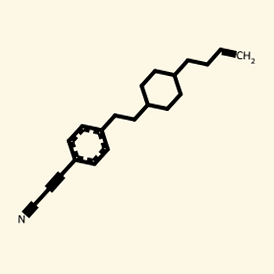 C=CCCC1CCC(CCc2ccc(C#CC#N)cc2)CC1